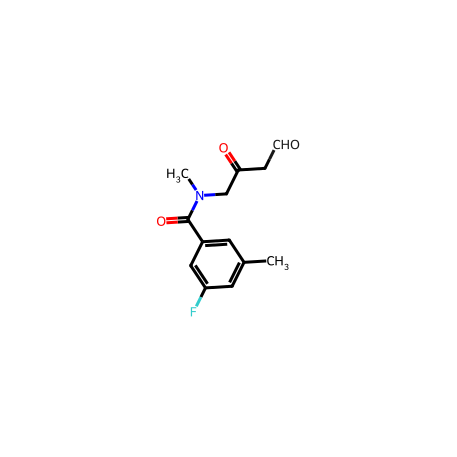 Cc1cc(F)cc(C(=O)N(C)CC(=O)CC=O)c1